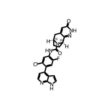 O=C(Nc1cc(Cl)c(-c2ccnc3[nH]ccc23)cc1F)N1[C@H]2CC[C@@H]1c1n[nH]c(=O)cc1C2